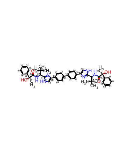 CC(O)(C(=O)N[C@H](c1nc(-c2ccc(-c3ccc(-c4c[nH]c([C@@H](NC(=O)[C@@](C)(O)c5ccccc5)C(C)(C)C)n4)cc3)cc2)c[nH]1)C(C)(C)C)c1ccccc1